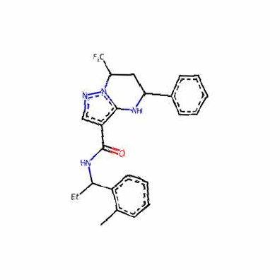 CCC(NC(=O)c1cnn2c1NC(c1ccccc1)CC2C(F)(F)F)c1ccccc1C